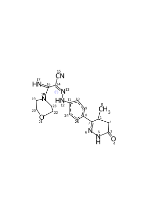 CC1CC(=O)NN=C1c1ccc(N/N=C(/C#N)C(=N)N2CCOCC2)cc1